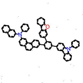 c1ccc(N(c2ccc3ccccc3c2)c2ccc3ccc4cc(-c5ccc(-c6ccc7c(c6)c6ccccc6n7-c6ccccc6)cc5-c5ccc6c(c5)oc5ccccc56)ccc4c3c2)cc1